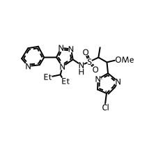 CCC(CC)n1c(NS(=O)(=O)C(C)C(OC)c2ncc(Cl)cn2)nnc1-c1cccnc1